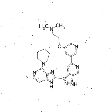 CN(C)CCOc1cncc(-c2cc3c(-c4nc5c(N6CCCCC6)nccc5[nH]4)n[nH]c3cn2)c1